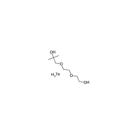 CC(C)(O)COCCOCCO.[TeH2]